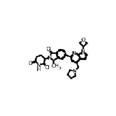 CC1c2cc(-c3cc(CN4CCCC4)c4ccn(C5COC5)c4n3)ccc2C(=O)N1C1CCC(=O)NC1=O